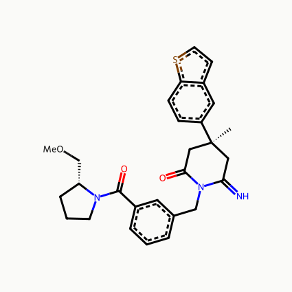 COC[C@H]1CCCN1C(=O)c1cccc(CN2C(=N)C[C@](C)(c3ccc4sccc4c3)CC2=O)c1